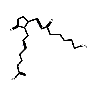 CCCCCCC(=O)/C=C/C1CCC(=O)C1C/C=C/CCCC(=O)O